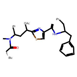 C=C(NC(Cc1ccccc1)CC(C)C)c1csc(C(CC(C(C)C)N(C)C(=O)C[C@@H](C)CC)OC(C)=O)n1